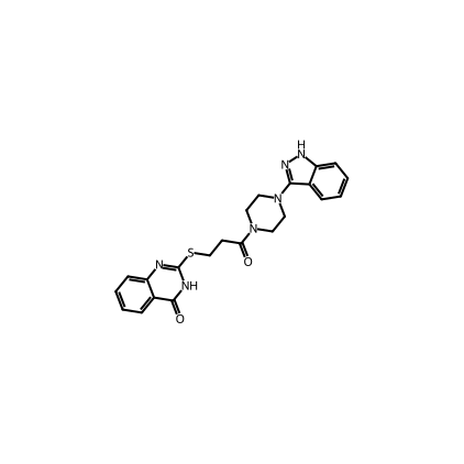 O=C(CCSc1nc2ccccc2c(=O)[nH]1)N1CCN(c2n[nH]c3ccccc23)CC1